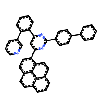 c1ccc(-c2ccc(-c3nc(-c4ccccc4-c4cccnc4)cc(-c4ccc5ccc6cccc7ccc4c5c67)n3)cc2)cc1